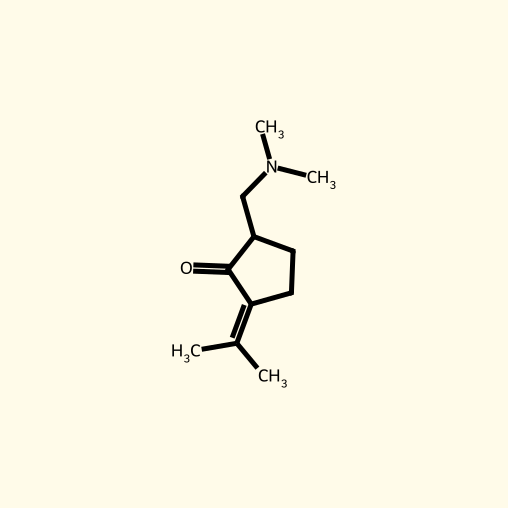 CC(C)=C1CCC(CN(C)C)C1=O